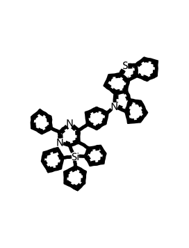 c1ccc(-c2nc(-c3ccc(-n4c5ccccc5c5c6c(ccc54)sc4ccccc46)cc3)c3c(n2)[Si](c2ccccc2)(c2ccccc2)c2ccccc2-3)cc1